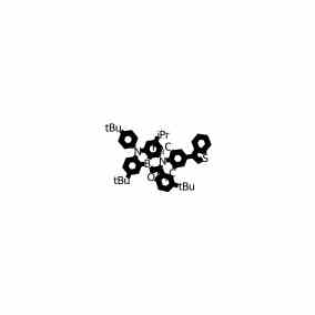 Cc1cc(-c2csc3ccccc23)cc(C)c1N1c2cc(C(C)C)cc3c2B(c2cc(C(C)(C)C)ccc2N3c2ccc(C(C)(C)C)cc2)c2oc3ccc(C(C)(C)C)cc3c21